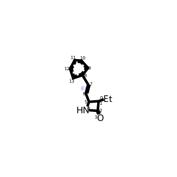 CCC1C(=O)NC1/C=C/c1ccccc1